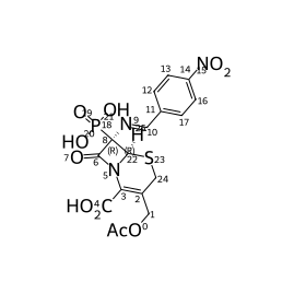 CC(=O)OCC1=C(C(=O)O)N2C(=O)[C@@](N=Cc3ccc([N+](=O)[O-])cc3)(P(=O)(O)O)[C@H]2SC1